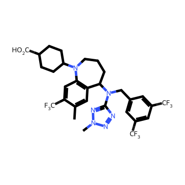 Cc1cc2c(cc1C(F)(F)F)N(C1CCC(C(=O)O)CC1)CCCC2N(Cc1cc(C(F)(F)F)cc(C(F)(F)F)c1)c1nnn(C)n1